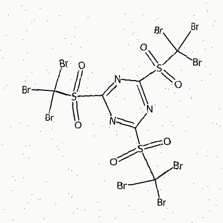 O=S(=O)(c1nc(S(=O)(=O)C(Br)(Br)Br)nc(S(=O)(=O)C(Br)(Br)Br)n1)C(Br)(Br)Br